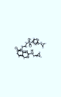 O=c1ccc2cnc(NCC3CC3)nc2n1CCCS(=O)(=O)n1cnc(C2CC2)n1